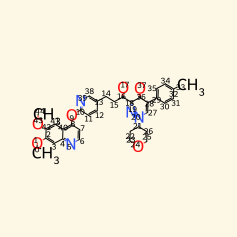 COc1cc2nccc(Oc3ccc(CCC(=O)c4nn(C5CCOCC5)cc(-c5ccc(C)cc5)c4=O)cn3)c2cc1OC